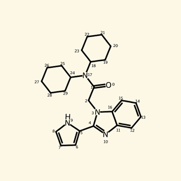 O=C(Cn1c(-c2ccc[nH]2)nc2ccccc21)N(C1CCCCC1)C1CCCCC1